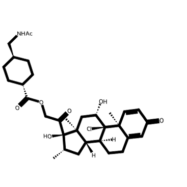 CC(=O)NC[C@H]1CC[C@H](C(=O)OCC(=O)[C@@]2(O)[C@@H](C)C[C@H]3[C@@H]4CCC5=CC(=O)C=C[C@]5(C)[C@@]4(Cl)[C@@H](O)C[C@@]32C)CC1